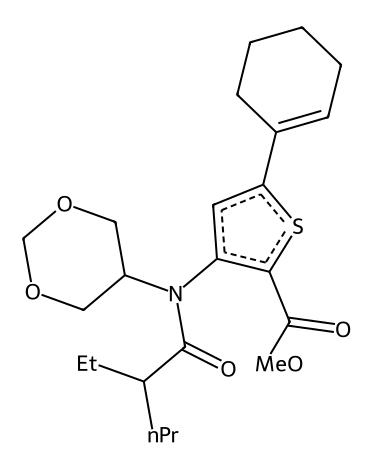 CCCC(CC)C(=O)N(c1cc(C2=CCCCC2)sc1C(=O)OC)C1COCOC1